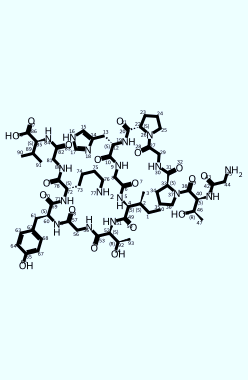 CC[C@H](C)[C@H](NC(=O)CNC(=O)[C@H](Cc1c[nH]cn1)NC(=O)[C@@H]1CCCN1C(=O)CNC(=O)[C@@H]1CCCN1C(=O)[C@@H](NC(=O)CN)[C@@H](C)O)C(=O)N[C@H](C(=O)NCC(=O)N[C@@H](Cc1ccc(O)cc1)C(=O)N[C@@H](CCCCN)C(=O)NCC(=O)N[C@H](C(=O)O)C(C)C)[C@@H](C)O